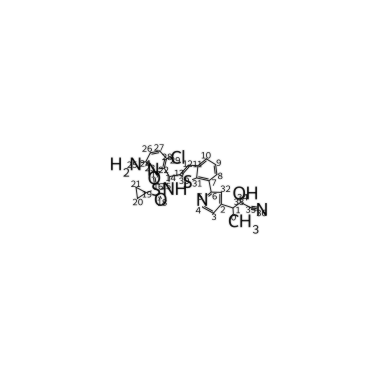 CC(c1ccnc(-c2cccc3cc(C(NS(=O)(=O)C4CC4)c4nc(N)ccc4Cl)sc23)c1)C(O)C#N